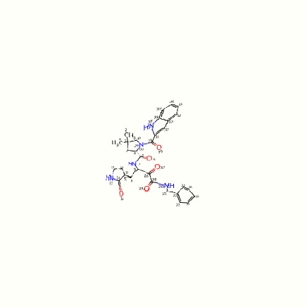 CC1(C)C[C@@H](C(=O)NC(C[C@@H]2CCNC2=O)C(=O)C(=O)NCc2ccccc2)N(C(=O)c2cc3ccccc3[nH]2)C1